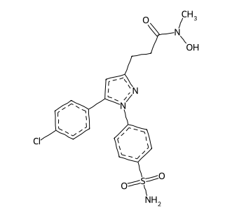 CN(O)C(=O)CCc1cc(-c2ccc(Cl)cc2)n(-c2ccc(S(N)(=O)=O)cc2)n1